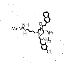 CNC(=N)NCCCC[C@H]1CN(C(=O)Cc2ccc3ccccc3c2)[C@H](CC(C)C)CN1C[C@H](N)Cc1ccc(Cl)cc1Cl